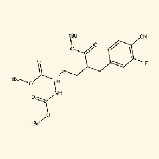 CC(C)(C)OC(=O)N[C@@H](CCC(Cc1ccc(C#N)c(F)c1)C(=O)OC(C)(C)C)C(=O)OC(C)(C)C